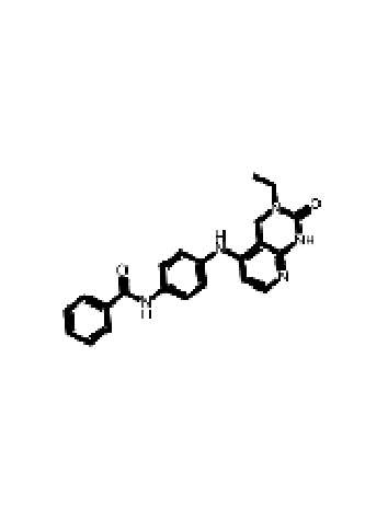 CCN1Cc2c(Nc3ccc(NC(=O)c4ccccc4)cc3)ccnc2NC1=O